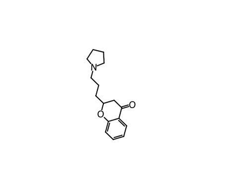 O=C1CC(CCCN2CCCC2)Oc2ccccc21